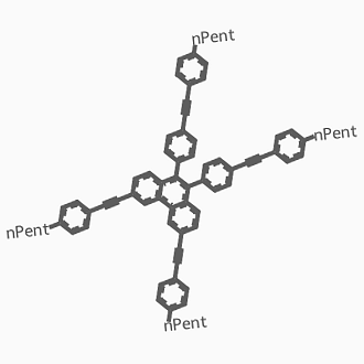 CCCCCc1ccc(C#Cc2ccc(-c3c(-c4ccc(C#Cc5ccc(CCCCC)cc5)cc4)c4ccc(C#Cc5ccc(CCCCC)cc5)cc4c4cc(C#Cc5ccc(CCCCC)cc5)ccc34)cc2)cc1